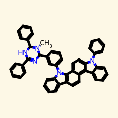 CN1C(c2cccc(-n3c4ccccc4c4ccc5c(ccc6c5c5ccccc5n6-c5ccccc5)c43)c2)N=C(c2ccccc2)NC1c1ccccc1